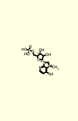 C[n+]1cn([C@@H]2OC(COP(=O)(O)O)[C@@H](O)C2O)c2nccc(S)c21